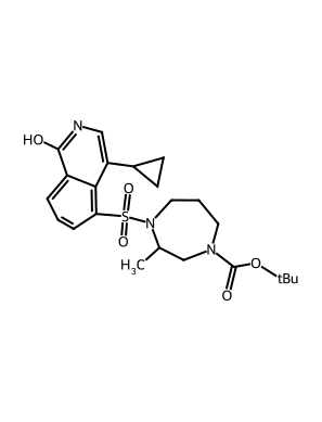 CC1CN(C(=O)OC(C)(C)C)CCCN1S(=O)(=O)c1cccc2c(O)ncc(C3CC3)c12